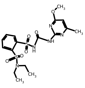 CCN(CC)S(=O)(=O)c1ccccc1S(=O)(=O)NC(=O)Nc1nc(C)cc(OC)n1